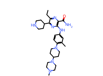 CCc1nc(C(N)=O)c(Nc2ccc(N3CCC(N4CCN(C)CC4)CC3)c(C)c2)nc1C1CCNCC1